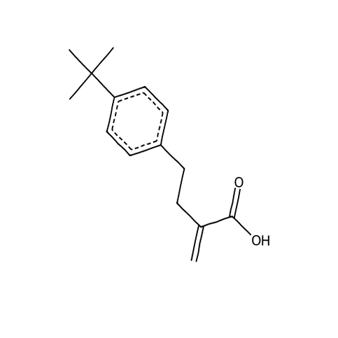 C=C(CCc1ccc(C(C)(C)C)cc1)C(=O)O